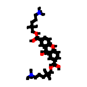 CN(C)CCCC(C)(C)COC(=O)c1ccc2oc3ccc(C(=O)OCC(C)(C)CCCN(C)C)cc3c(=O)c2c1